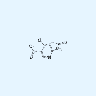 O=C1Cc2c(ncc([N+](=O)[O-])c2Cl)N1